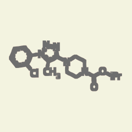 Cc1c(N2CCN(C(=O)OC(C)C)CC2)nnn1-c1ccccc1Cl